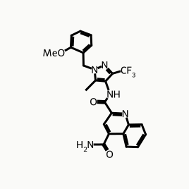 COc1ccccc1Cn1nc(C(F)(F)F)c(NC(=O)c2cc(C(N)=O)c3ccccc3n2)c1C